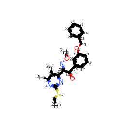 [2H]CSc1nc([2H])c([2H])c(C(=NO[2H])C(=O)c2cccc(OCc3ccccc3)c2)n1